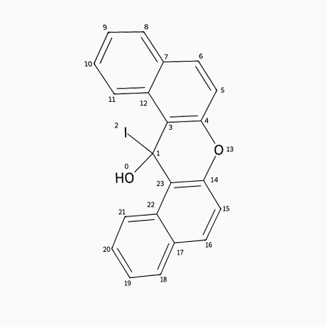 OC1(I)c2c(ccc3ccccc23)Oc2ccc3ccccc3c21